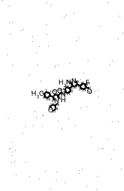 Cc1ccc(-c2cn(CC3CCOCC3)cc(C(=O)Nc3ccc(-c4cc(-c5ccc(C=O)c(F)c5)cnc4N)cc3)c2=O)cc1